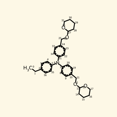 CCc1ccc(N(c2ccc(COC3CCCCO3)cc2)c2ccc(COC3CCCCO3)cc2)cc1